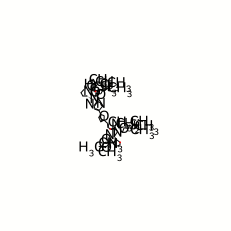 C=Nc1c(/C=C(\C)c2ccc(-c3cnc4c(c3)nc([C@@H]3CCCN3C(=O)OC(C)(C)C)n4COCC[Si](C)(C)C)o2)nc([C@@H]2CCCN2C(=O)OC(C)(C)C)n1COCC[Si](C)(C)C